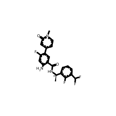 C[C@@H](NC(=O)c1cc(-c2ccn(C)c(=O)c2)c(F)cc1N)c1cccc(C(F)F)c1F